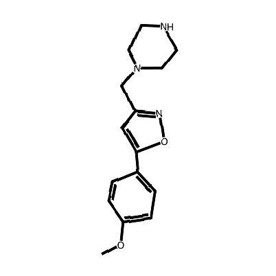 COc1ccc(-c2cc(CN3CCNCC3)no2)cc1